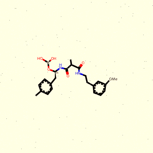 COc1cccc(CCNC(=O)C(C)C(=O)N[C@@H](Cc2ccc(C)cc2)OB(O)O)c1